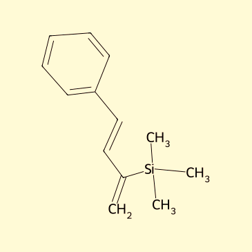 C=C(C=Cc1ccccc1)[Si](C)(C)C